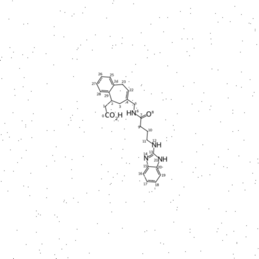 O=C(O)CC1CC(CNC(=O)CCCNc2nc3ccccc3[nH]2)=CCc2ccccc21